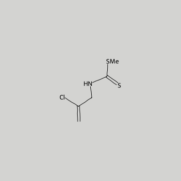 C=C(Cl)CNC(=S)SC